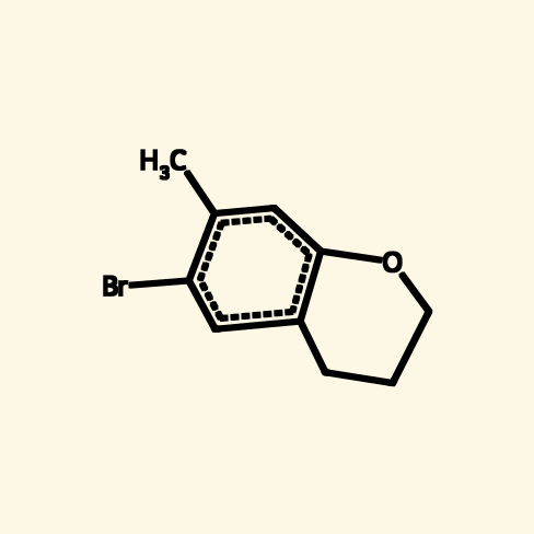 Cc1cc2c(cc1Br)CCCO2